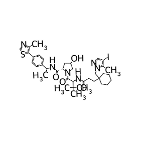 Cc1ncsc1-c1ccc([C@H](C)NC(=O)[C@@H]2C[C@@H](O)CN2C(=O)[C@@H](NC(=O)CCC2(Cn3ncc(I)c3C)CCCCC2)C(C)(C)C)cc1